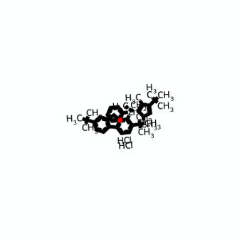 Cl.Cl.[CH2]=[Zr]([CH3])([C]1=C(C)C(C(C)(C)C)=CC1C)([c]1ccccc1)[c]1c(C(C)(C)C)ccc2c1Cc1cc(C(C)(C)C)ccc1-2